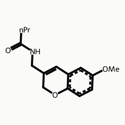 CCCC(=O)NCC1=Cc2cc(OC)ccc2OC1